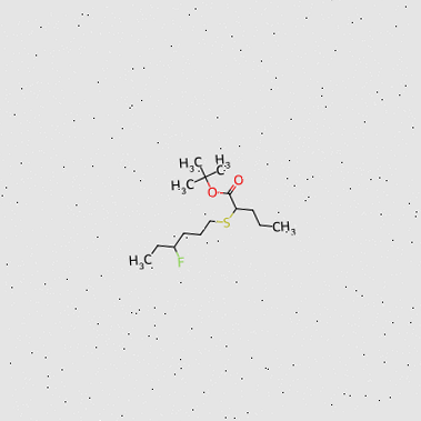 CCCC(SCCCC(F)CC)C(=O)OC(C)(C)C